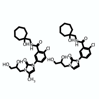 Cc1cn(-c2ccc(Cl)c(C(=O)NCC3(O)CCCCCC3)c2)c(=O)n1CC(O)CO.O=C(NCC1(O)CCCCCC1)c1cc(-n2ccn(CC(O)CO)c2=O)ccc1Cl